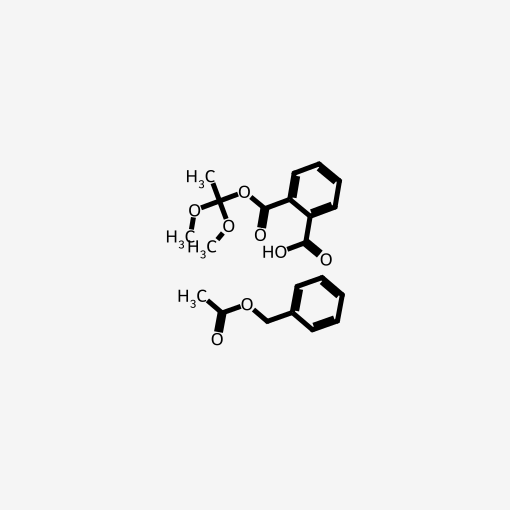 CC(=O)OCc1ccccc1.COC(C)(OC)OC(=O)c1ccccc1C(=O)O